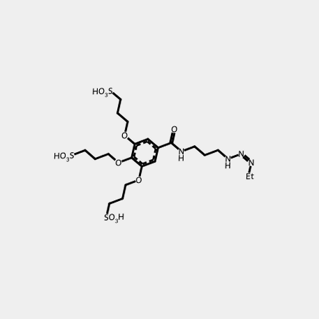 CC/N=N\NCCCNC(=O)c1cc(OCCCS(=O)(=O)O)c(OCCCS(=O)(=O)O)c(OCCCS(=O)(=O)O)c1